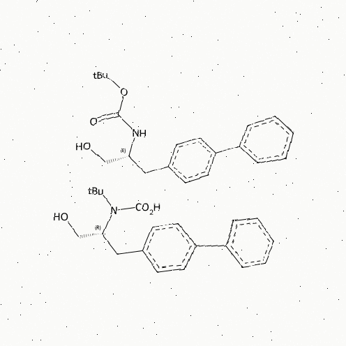 CC(C)(C)N(C(=O)O)[C@@H](CO)Cc1ccc(-c2ccccc2)cc1.CC(C)(C)OC(=O)N[C@@H](CO)Cc1ccc(-c2ccccc2)cc1